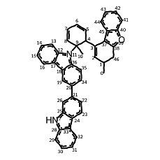 CC1C=C(C2C=CC=CC2(C)n2c3ccccc3c3cc(-c4ccc5c(c4)[nH]c4ccccc45)ccc32)c2c(oc3ccccc23)C1